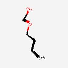 C=CCCOCO